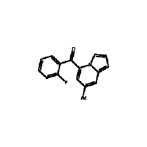 CC(=O)c1cc(C(=O)c2ccccc2F)n2cccc2c1